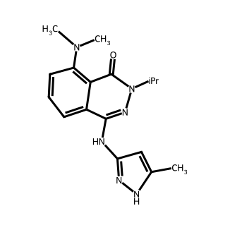 Cc1cc(Nc2nn(C(C)C)c(=O)c3c(N(C)C)cccc23)n[nH]1